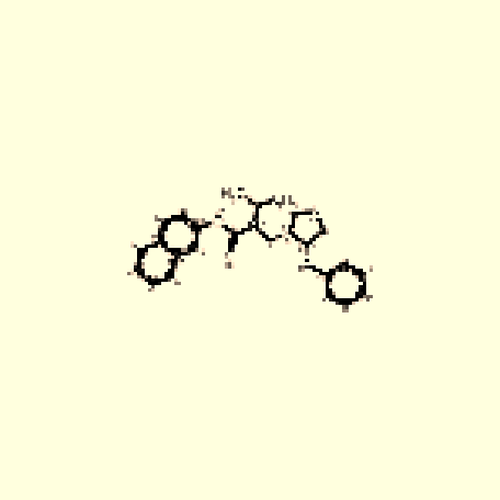 CC(C)N(C[C@H]1CNC[C@@H]1Cc1ccccc1)C(=O)Oc1ccc2ccccc2c1